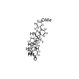 COc1ccc(CC(NC(=O)[C@H]2CC[C@H]3[C@@H]4CC[C@H]5NC(=O)C=C[C@]5(C)[C@H]4CC[C@]23C)c2ccccc2)cc1